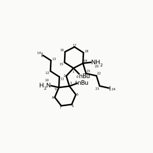 CCCCC1(CC2(CCCC)CCCCC2(N)CCCI)CCCCC1(N)CCCI